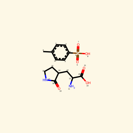 Cc1ccc(S(=O)(=O)O)cc1.NC(CC1CCNC1=O)C(=O)O